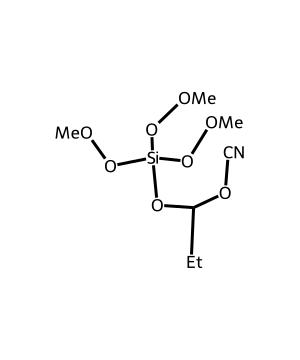 CCC(OC#N)O[Si](OOC)(OOC)OOC